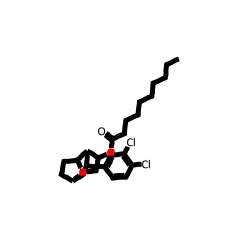 CCCCCCCCCC(=O)OC1CN2C3CCC2C1C(c1ccc(Cl)c(Cl)c1)C3